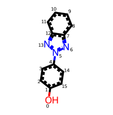 Oc1ccc(-n2nc3ccccc3n2)cc1